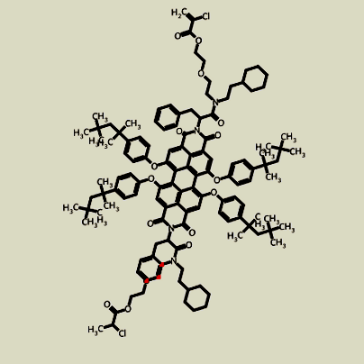 C=C(Cl)C(=O)OCCOCCN(CCC1CCCCC1)C(=O)C(Cc1ccccc1)N1C(=O)c2cc(Oc3ccc(C(C)(C)CC(C)(C)C)cc3)c3c4c(Oc5ccc(C(C)(C)CC(C)(C)C)cc5)cc5c6c(cc(Oc7ccc(C(C)(C)CC(C)(C)C)cc7)c(c7c(Oc8ccc(C(C)(C)CC(C)(C)C)cc8)cc(c2c37)C1=O)c64)C(=O)N(C(Cc1ccccc1)C(=O)N(CCOCCOC(=O)C(C)Cl)CCC1CCCCC1)C5=O